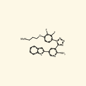 CNCCCOc1ccc(-n2nnnc2-c2cc(-c3cc4ccccc4s3)cnc2N)c(F)c1F